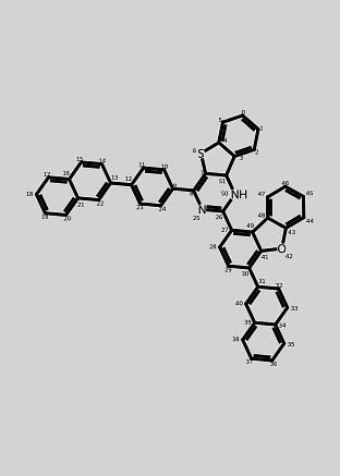 c1ccc2c(c1)SC1=C(c3ccc(-c4ccc5ccccc5c4)cc3)N=C(c3ccc(-c4ccc5ccccc5c4)c4oc5ccccc5c34)NC12